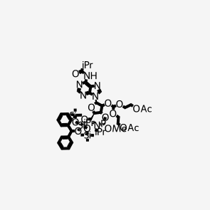 COP(OC1C(OC(OCCOC(C)=O)OCCOC(C)=O)[C@H](n2cnc3c(NC(=O)C(C)C)ncnc32)O[C@@H]1CO[Si](OC(c1ccccc1)c1ccccc1)(O[Si](C)(C)C)O[Si](C)(C)C)N(C(C)C)C(C)C